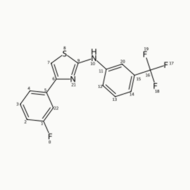 Fc1cccc(-c2csc(Nc3cccc(C(F)(F)F)c3)n2)c1